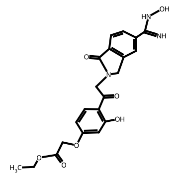 CCOC(=O)COc1ccc(C(=O)CN2Cc3cc(C(=N)NO)ccc3C2=O)c(O)c1